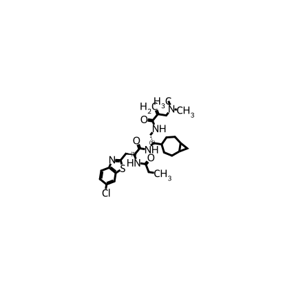 C=C(CN(C)C)C(=O)NC[C@@H](NC(=O)[C@H](Cc1nc2ccc(Cl)cc2s1)NC(=O)CC)C1CCC2CC2CC1